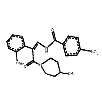 COc1ccccc1C(=CNC(=O)c1ccc([N+](=O)[O-])cc1)C(=O)N1CCC(C)CC1